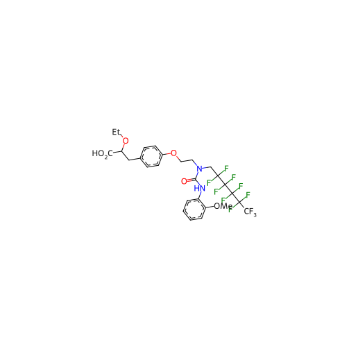 CCOC(Cc1ccc(OCCN(CC(F)(F)C(F)(F)C(F)(F)C(F)(F)C(F)(F)F)C(=O)Nc2ccccc2OC)cc1)C(=O)O